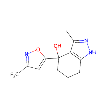 Cc1n[nH]c2c1C(O)(c1cc(C(F)(F)F)no1)CCC2